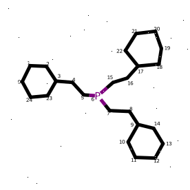 C1CCC(CCP(CCC2CCCCC2)CCC2CCCCC2)CC1